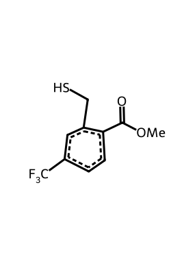 COC(=O)c1ccc(C(F)(F)F)cc1CS